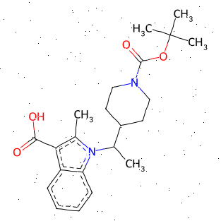 Cc1c(C(=O)O)c2ccccc2n1C(C)C1CCN(C(=O)OC(C)(C)C)CC1